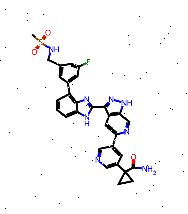 CS(=O)(=O)NCc1cc(F)cc(-c2cccc3[nH]c(-c4n[nH]c5cnc(-c6cncc(C7(C(N)=O)CC7)c6)cc45)nc23)c1